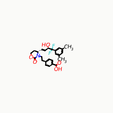 Cc1cc(C)cc(C(F)(F)[C@H](O)C=C[C@H]2CCOC(=O)N2CCc2ccc(C(=O)O)cc2)c1